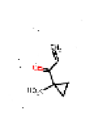 C=CC(=O)C1(C(=O)O)CC1